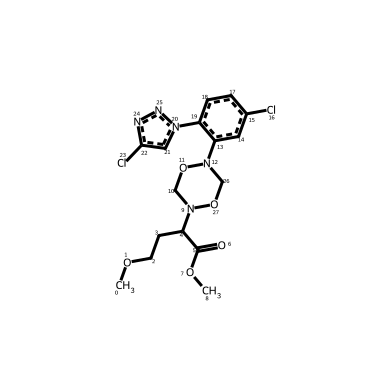 COCCC(C(=O)OC)N1CON(c2cc(Cl)ccc2-n2cc(Cl)nn2)CO1